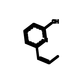 C/C=C\c1cccc(O)n1